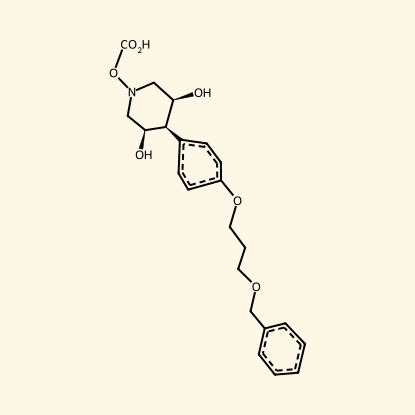 O=C(O)ON1C[C@@H](O)[C@@H](c2ccc(OCCCOCc3ccccc3)cc2)[C@@H](O)C1